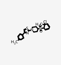 Cc1ccc(-c2csc(N3CCC(S(=O)(=O)C4C=CC=CC4(C)Cl)CC3)n2)cc1